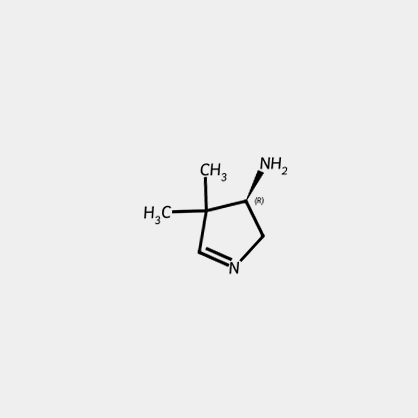 CC1(C)C=NC[C@@H]1N